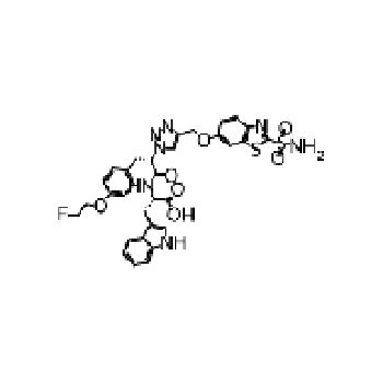 NS(=O)(=O)c1nc2ccc(OCc3cn([C@@H](Cc4ccc(OCCF)cc4)C(=O)N[C@@H](Cc4c[nH]c5ccccc45)C(=O)O)nn3)cc2s1